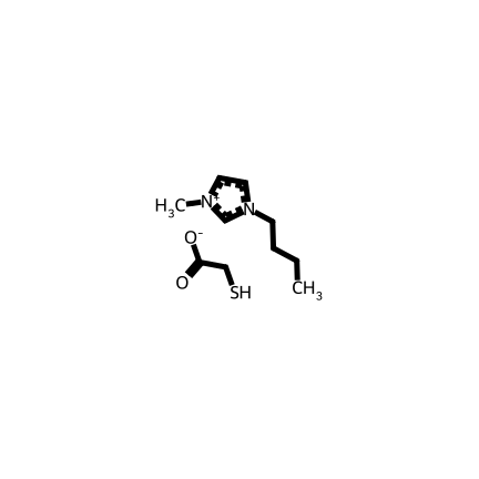 CCCCn1cc[n+](C)c1.O=C([O-])CS